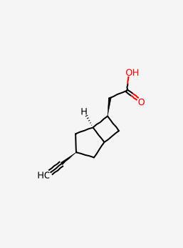 C#C[C@@H]1CC2C[C@H](CC(=O)O)[C@@H]2C1